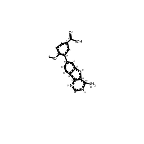 COc1ccc(C(=O)O)cc1-c1ccc2c(c1)sc1c(N)ncnc12